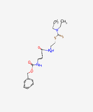 CCN(CC)C(=S)SCCNC(=O)CCNC(=O)OCc1ccccc1